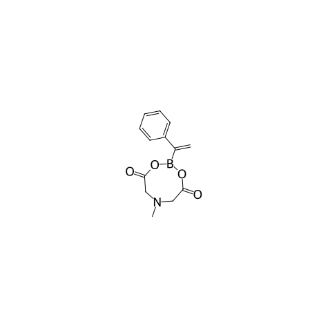 C=C(B1OC(=O)CN(C)CC(=O)O1)c1ccccc1